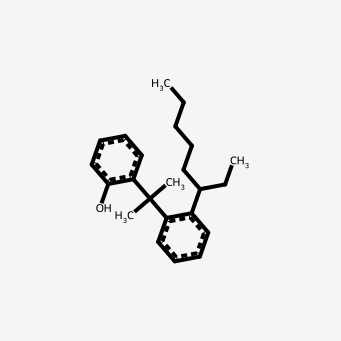 CCCCCC(CC)c1ccccc1C(C)(C)c1ccccc1O